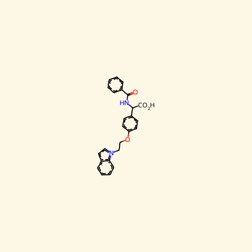 O=C(NC(C(=O)O)c1ccc(OCCn2ccc3ccccc32)cc1)c1ccccc1